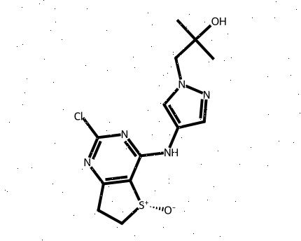 CC(C)(O)Cn1cc(Nc2nc(Cl)nc3c2[S@+]([O-])CC3)cn1